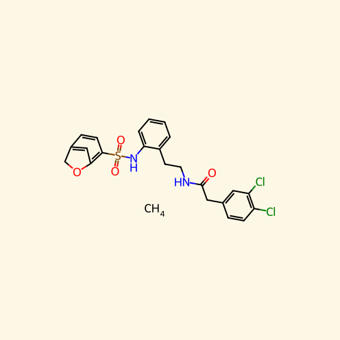 C.O=C(Cc1ccc(Cl)c(Cl)c1)NCCc1ccccc1NS(=O)(=O)c1ccc2cc1OC2